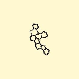 c1ccc2c(c1)Sc1ccc3c4ccc5c6ccccc6sc5c4n4c3c1B2c1ccccc1-4